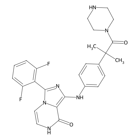 CC(C)(C(=O)N1CCNCC1)c1ccc(Nc2nc(-c3c(F)cccc3F)n3cc[nH]c(=O)c23)cc1